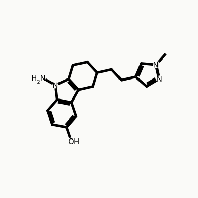 Cn1cc(CCC2CCc3c(c4cc(O)ccc4n3N)C2)cn1